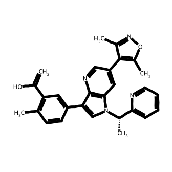 C=C(O)c1cc(-c2cn([C@@H](C)c3ccccn3)c3cc(-c4c(C)noc4C)cnc23)ccc1C